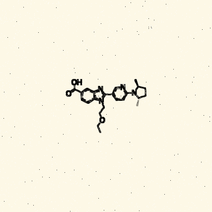 CCOCCn1c(-c2ccc(N3[C@@H](C)CC[C@@H]3C)nc2)nc2cc(C(=O)O)ccc21